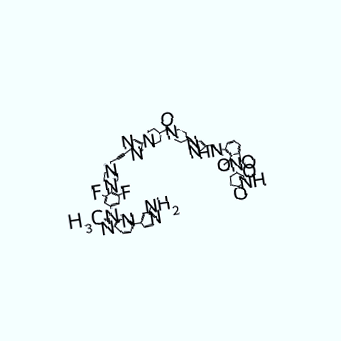 Cc1nc2ccc(-c3ccnc(N)c3)nc2n1-c1cc(F)c(N2CCN(CC#Cc3ncc(N4CCC(C(=O)N5CCC(n6cc(CNc7cccc8c7C(=O)N(C7CCC(=O)NC7=O)C8=O)cn6)CC5)CC4)cn3)CC2)c(F)c1